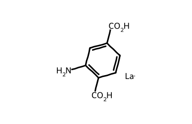 Nc1cc(C(=O)O)ccc1C(=O)O.[La]